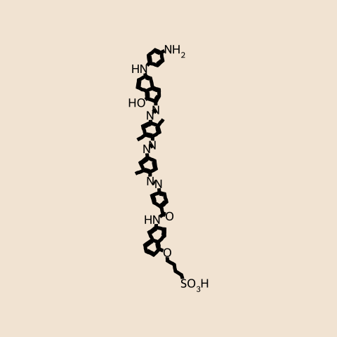 Cc1cc(N=Nc2cc(C)c(N=Nc3ccc4cc(Nc5ccc(N)cc5)ccc4c3O)cc2C)ccc1N=Nc1ccc(C(=O)Nc2ccc3c(OCCCCS(=O)(=O)O)cccc3c2)cc1